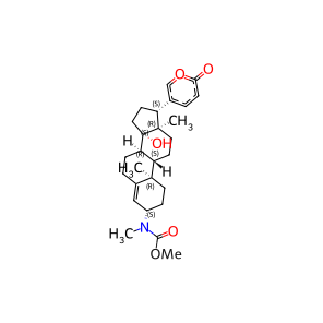 COC(=O)N(C)[C@@H]1C=C2CC[C@@H]3[C@H](CC[C@]4(C)[C@@H](c5ccc(=O)oc5)CC[C@]34O)[C@@]2(C)CC1